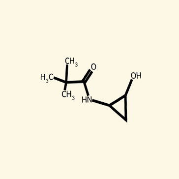 CC(C)(C)C(=O)NC1CC1O